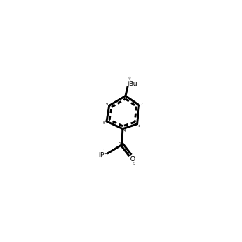 CCC(C)c1ccc(C(=O)C(C)C)cc1